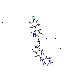 CN1CCN(Cc2ccc(CCC#Cc3ccc(-c4ccc(Cl)cc4)cn3)cc2)CC1